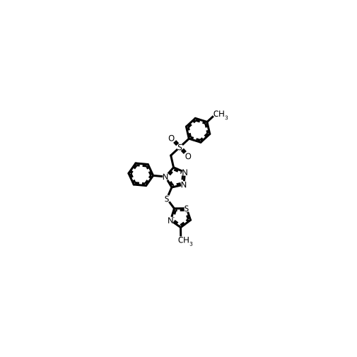 Cc1ccc(S(=O)(=O)Cc2nnc(Sc3nc(C)cs3)n2-c2ccccc2)cc1